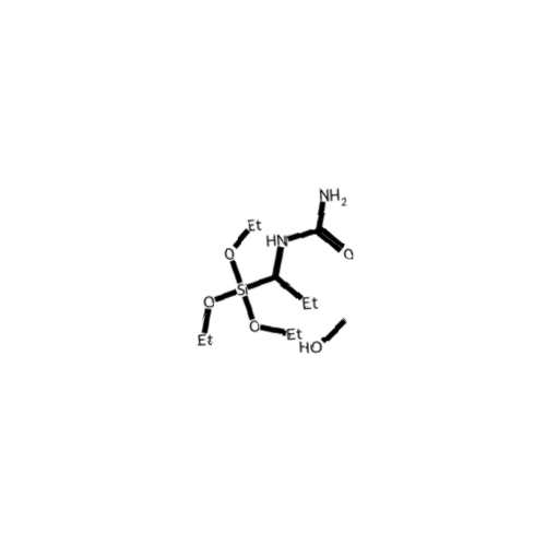 CCO[Si](OCC)(OCC)C(CC)NC(N)=O.CO